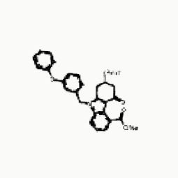 CCCCCC1CC(=O)c2c(n(Cc3cccc(Oc4ccccc4)c3)c3cccc(C(=O)OC)c23)C1